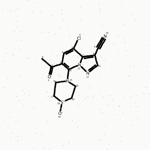 CC(=O)c1cc(Cl)c2c(C#N)cnn2c1N1CC[S+]([O-])CC1